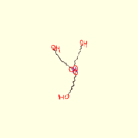 OCCCCCCCCCCCCON(OCCCCCCCCCCCCO)OCCCCCCCCCCCCO